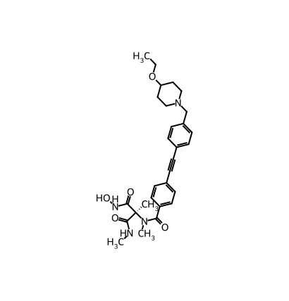 CCOC1CCN(Cc2ccc(C#Cc3ccc(C(=O)N(C)[C@@](C)(C(=O)NC)C(=O)NO)cc3)cc2)CC1